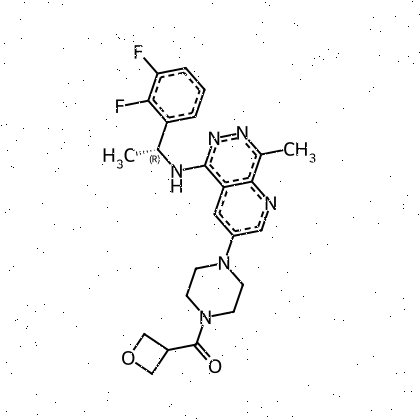 Cc1nnc(N[C@H](C)c2cccc(F)c2F)c2cc(N3CCN(C(=O)C4COC4)CC3)cnc12